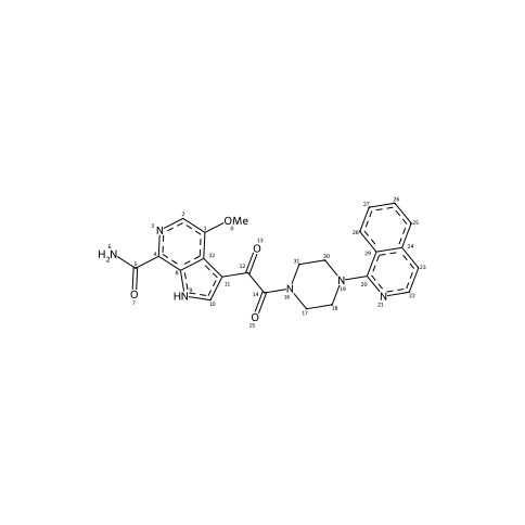 COc1cnc(C(N)=O)c2[nH]cc(C(=O)C(=O)N3CCN(c4nccc5ccccc45)CC3)c12